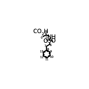 C[C@H](NS(=O)(=O)CCc1ccccc1)C(=O)O